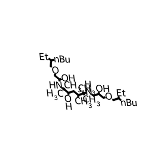 CCCCC(CC)COCC(O)CNC(C)(C)C(C)CC(O)C(C)(C)NC(O)COCC(CC)CCCC